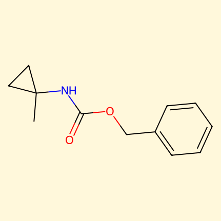 CC1(NC(=O)OCc2ccccc2)CC1